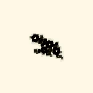 Cc1ccc([SiH](C)c2ccc(C(=O)NS(=O)(=O)c3ccccc3)c(N3C[C@@H](C)CC3(C)C)n2)cc1